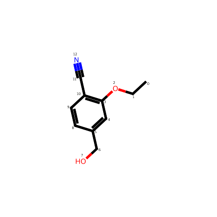 CCOc1cc(CO)ccc1C#N